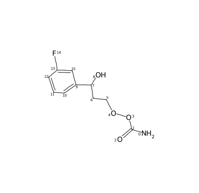 NC(=O)OOCCC(O)c1cccc(F)c1